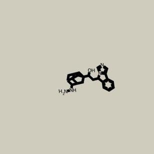 NNC1C2CC3CC1CC(C(O)CC1c4ccccc4-c4cncn41)(C3)C2